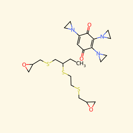 CCC(CSCC1CO1)SCCSCC1CO1.O=C1C=C(N2CC2)C(=O)C(N2CC2)=C1N1CC1